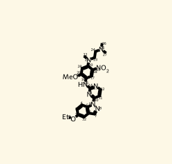 CCOc1ccc2c(cnn2-c2ccnc(Nc3cc([N+](=O)[O-])c(N(C)CCN(C)C)cc3OC)n2)c1